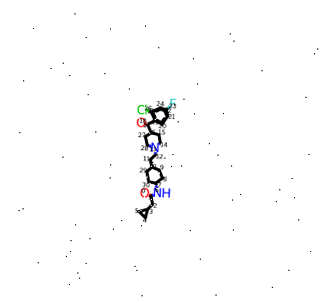 O=C(CC1CC1)NC1CCC(CCN2CCC(C(=O)c3ccc(F)cc3Cl)CC2)CC1